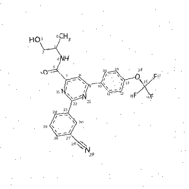 CC(CO)NC(=O)c1cc(-c2ccc(OC(F)(F)F)cc2)nc(-c2cccc(C#N)c2)n1